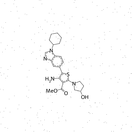 COC(=O)c1c(N2CCC(O)C2)sc(-c2ccc3c(c2)ncn3C2CCCCC2)c1N